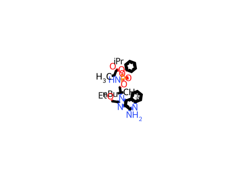 CCCCC(C)(COP(=O)(NC(C)C(=O)OC(C)C)Oc1ccccc1)n1c(COCC)nc2c(N)nc3ccccc3c21